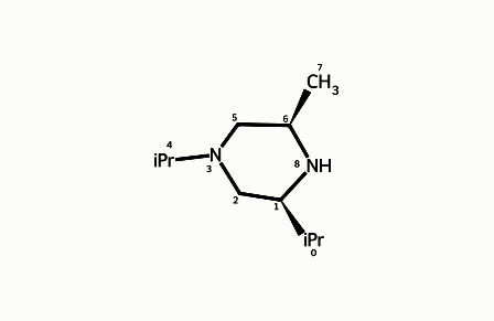 CC(C)[C@H]1CN(C(C)C)C[C@@H](C)N1